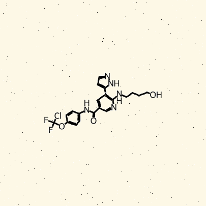 O=C(Nc1ccc(OC(F)(F)Cl)cc1)c1cnc(NCCCCO)c(-c2ccn[nH]2)c1